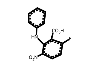 O=C(O)c1c(F)ccc([N+](=O)[O-])c1Nc1ccccc1